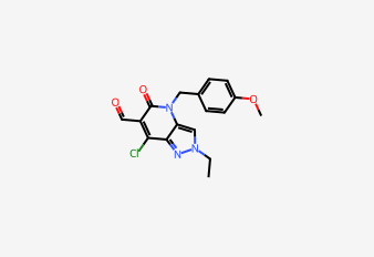 CCn1cc2c(n1)c(Cl)c(C=O)c(=O)n2Cc1ccc(OC)cc1